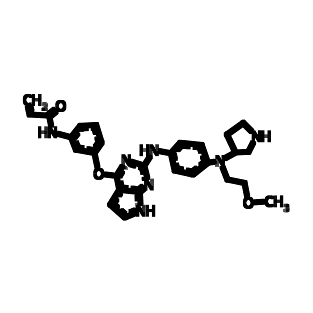 C=CC(=O)Nc1cccc(Oc2nc(Nc3ccc(N(CCOC)C4CCNC4)cc3)nc3[nH]ccc23)c1